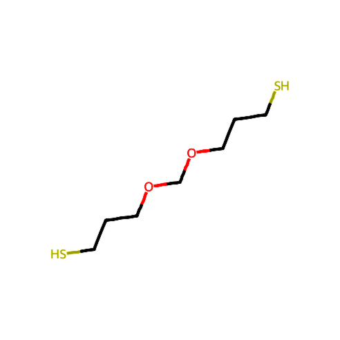 SCCCOCOCCCS